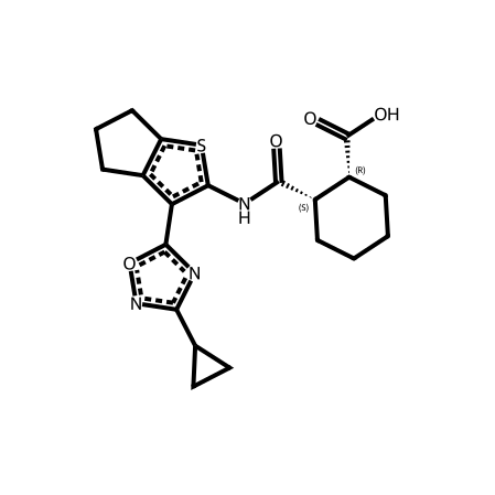 O=C(Nc1sc2c(c1-c1nc(C3CC3)no1)CCC2)[C@H]1CCCC[C@H]1C(=O)O